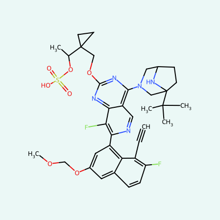 C#Cc1c(F)ccc2cc(OCOC)cc(-c3ncc4c(N5CC6CCC(C(C)(C)C)(C5)N6)nc(OCC5(C(C)OS(=O)(=O)O)CC5)nc4c3F)c12